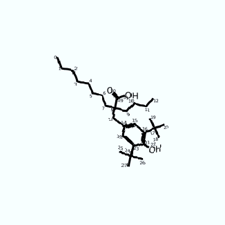 CCCCCCCCC(CCCC)(Cc1cc(C(C)(C)C)c(O)c(C(C)(C)C)c1)C(=O)O